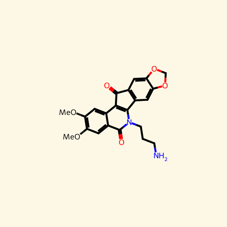 COc1cc2c3c(n(CCCN)c(=O)c2cc1OC)-c1cc2c(cc1C3=O)OCO2